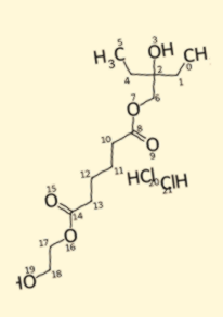 CCC(O)(CC)COC(=O)CCCCC(=O)OCCO.Cl.Cl